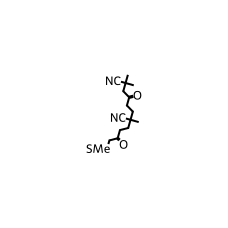 CSCC(=O)CCC(C)(C#N)CCC(=O)CC(C)(C)C#N